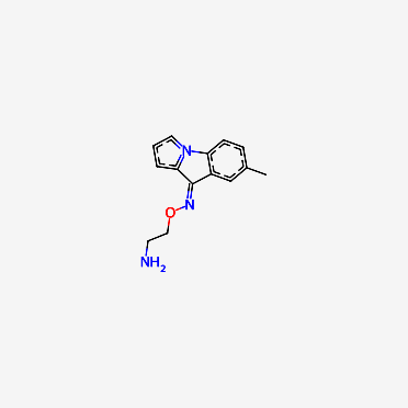 Cc1ccc2c(c1)C(=NOCCN)c1cccn1-2